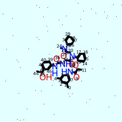 Cc1cc(C)cc(NC(=O)C(C)Oc2ccccc2N(CC(=O)N(C)c2ccccc2)C(=O)CNC(=O)Nc2cccc(C(C)O)c2)c1